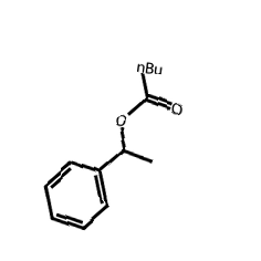 CCCCC(=O)OC(C)c1ccccc1